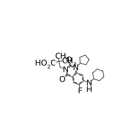 CC(C)(Cn1c(=O)c2cc(F)c(NC3CCCCC3)cc2n(C2CCCC2)c1=O)C(=O)O